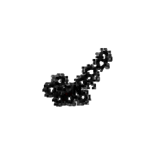 CC1(C)c2cc(-c3ccc4ccccc4c3)ccc2-c2ccc(N(c3ccc4c(c3)-c3ccccc3C4(c3ccccc3)c3ccccc3)c3ccccc3-c3ccccc3)cc21